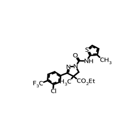 CCOC(=O)C1(C)CN(C(=O)Nc2sccc2C)N=C1c1ccc(C(F)(F)F)c(Cl)c1